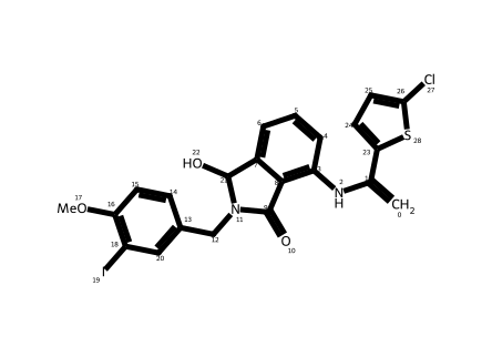 C=C(Nc1cccc2c1C(=O)N(Cc1ccc(OC)c(I)c1)C2O)c1ccc(Cl)s1